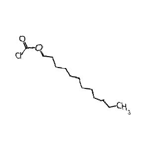 CCCCCCCCCCCCOC(=O)Cl